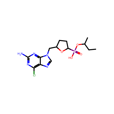 CCC(C)OP(=O)(O)C1CCC(Cn2cnc3c(Cl)nc(N)nc32)O1